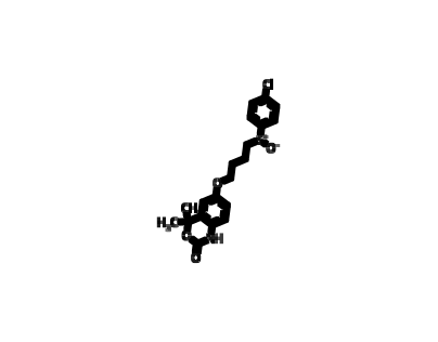 CC1(C)OC(=O)Nc2ccc(OCCCC[S+]([O-])c3ccc(Cl)cc3)cc21